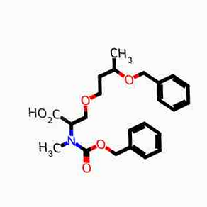 CC(CCOCC(C(=O)O)N(C)C(=O)OCc1ccccc1)OCc1ccccc1